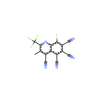 Cc1c(C(F)(F)F)nc2c(F)c(C#N)c(C#N)c(C#N)c2c1C#N